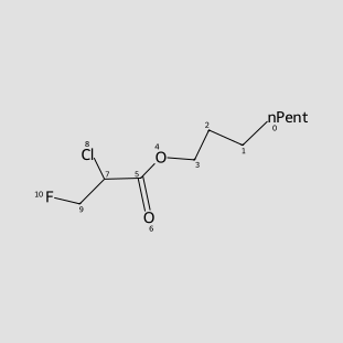 CCCCCCCCOC(=O)C(Cl)CF